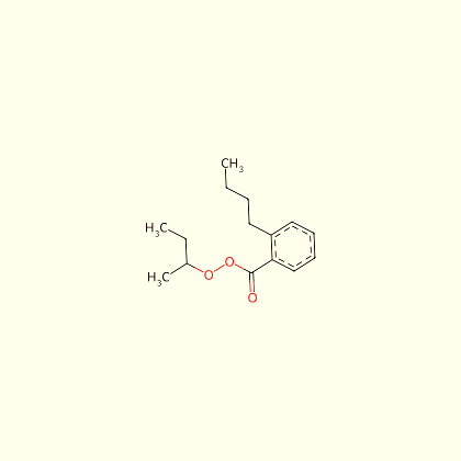 CCCCc1ccccc1C(=O)OOC(C)CC